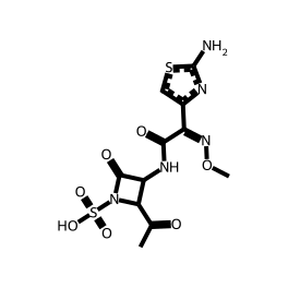 CON=C(C(=O)NC1C(=O)N(S(=O)(=O)O)C1C(C)=O)c1csc(N)n1